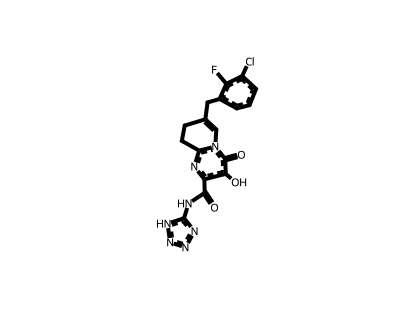 O=C(Nc1nnn[nH]1)c1nc2n(c(=O)c1O)C=C(Cc1cccc(Cl)c1F)CC2